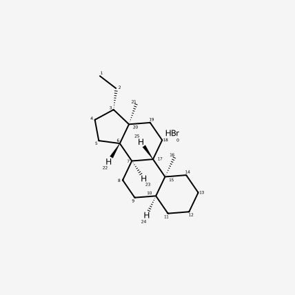 Br.CC[C@H]1CC[C@H]2[C@@H]3CC[C@@H]4CCCC[C@]4(C)[C@H]3CC[C@]12C